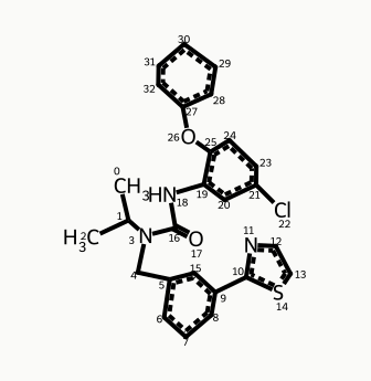 CC(C)N(Cc1cccc(-c2nccs2)c1)C(=O)Nc1cc(Cl)ccc1Oc1ccccc1